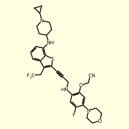 N#CCOc1cc(N2CCOCC2)c(F)cc1NCC#Cc1sc2c(NC3CCN(C4CC4)CC3)cccc2c1CC(F)(F)F